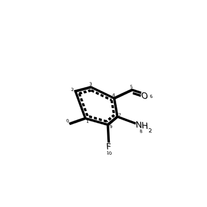 Cc1ccc([C]=O)c(N)c1F